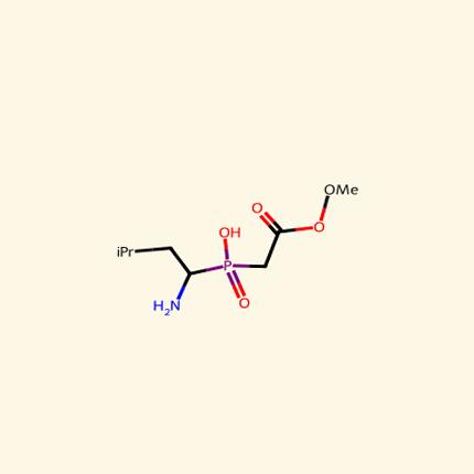 COOC(=O)CP(=O)(O)C(N)CC(C)C